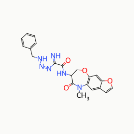 CN1C(=O)C(NC(=O)C(=N)/N=N\NCc2ccccc2)COc2cc3occc3cc21